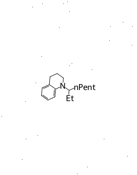 CCCCCC(CC)N1CCCc2ccccc21